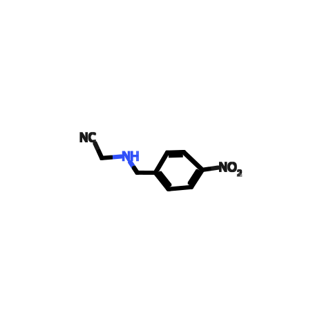 N#CCNCc1ccc([N+](=O)[O-])cc1